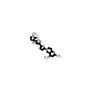 Cc1cc(N)c2c(n1)C=CN(c1ccc(-c3cc([C@]4(O)CCN(C)C4=O)on3)o1)C2